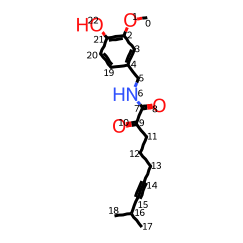 COc1cc(CNC(=O)C(=O)CCCC#CC(C)C)ccc1O